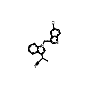 CC(C#N)c1cn(Cc2csc3ccc(Cl)cc23)c2ccccc12